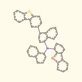 c1ccc2c(N(c3ccc(-c4ccc5sc6ccccc6c5c4)c4ccccc34)c3cccc4c3oc3ccccc34)cccc2c1